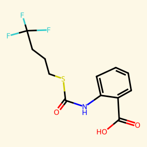 O=C(Nc1ccccc1C(=O)O)SCCCC(F)(F)F